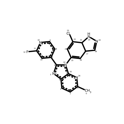 Cc1ccc2nc(-c3ccnc(F)c3)n(C3=CC4C=NNC4C(Cl)=C3)c2n1